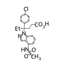 CCC(CCC(=O)O)(c1ccc(Cl)cc1)n1ncc2c(NS(C)(=O)=O)cccc21